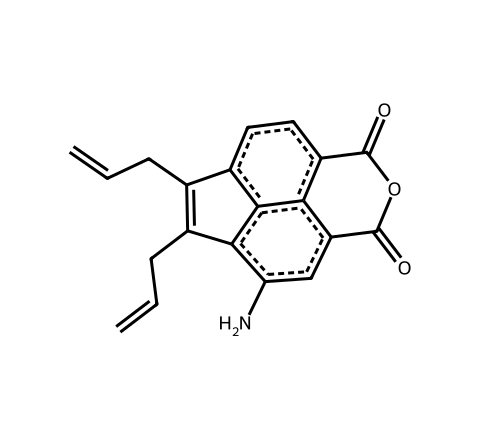 C=CCC1=C(CC=C)c2c(N)cc3c4c(ccc1c24)C(=O)OC3=O